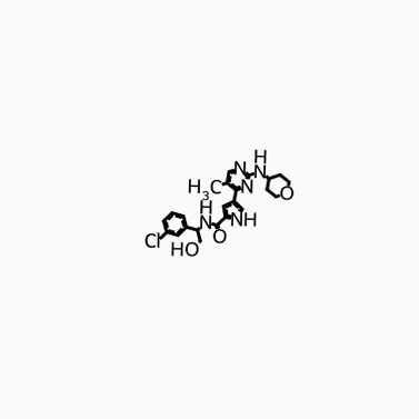 Cc1cnc(NC2CCOCC2)nc1-c1c[nH]c(C(=O)NC(CO)c2cccc(Cl)c2)c1